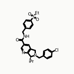 CCS(=O)(=O)c1ccc(CNC(=O)c2cnc3c(c2)CN(Cc2ccc(Cl)cc2)[C@H]3C(C)C)cc1